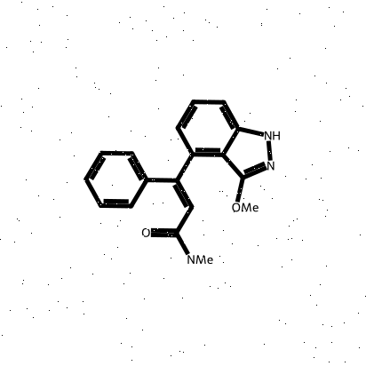 CNC(=O)C=C(c1ccccc1)c1cccc2[nH]nc(OC)c12